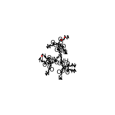 O=C(CCN1CC1)OCC(COC(=O)CCN1CC1)(COC(=O)CCN1CC1)COC(=O)NCCN(CCNC(=O)OCC(COC(=O)CCN1CC1)(COC(=O)CCN1CC1)COC(=O)CCN1CC1)CCNC(=O)OCC(COC(=O)CCN1CC1)(COC(=O)CCN1CC1)COC(=O)CCN1CC1